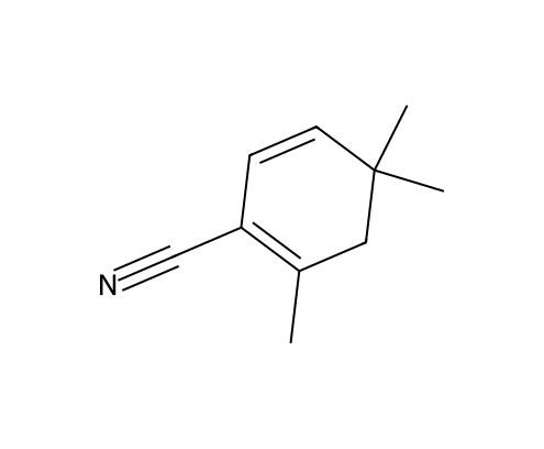 CC1=C(C#N)C=CC(C)(C)C1